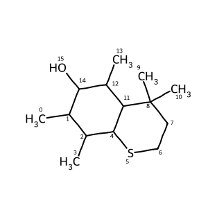 CC1C(C)C2SCCC(C)(C)C2C(C)C1O